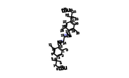 Cc1cc(C(C)(C)CC(C)(C)C)cc(C)c1/N=C/C=N/c1c(C)cc(C(C)(C)CC(C)(C)C)cc1C